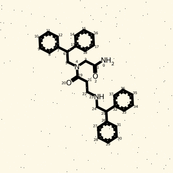 NC(=O)CN(CC(c1ccccc1)c1ccccc1)C(=O)CCNCC(c1ccccc1)c1ccccc1